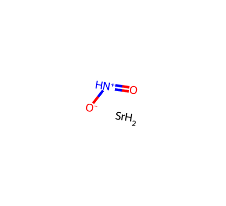 O=[NH+][O-].[SrH2]